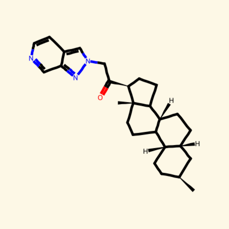 C[C@H]1CC[C@@H]2C3CC[C@@]4(C)C(CC[C@@H]4C(=O)Cn4cc5ccncc5n4)[C@@H]3CC[C@@H]2C1